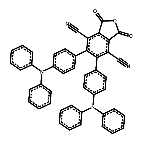 N#Cc1c2c(c(C#N)c(-c3ccc(N(c4ccccc4)c4ccccc4)cc3)c1-c1ccc(N(c3ccccc3)c3ccccc3)cc1)C(=O)OC2=O